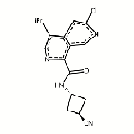 CC(C)c1cnc(C(=O)N[C@H]2C[C@H](C#N)C2)c2cnc(Cl)cc12